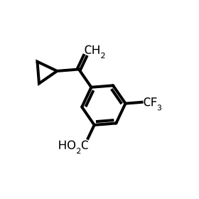 C=C(c1cc(C(=O)O)cc(C(F)(F)F)c1)C1CC1